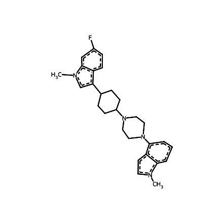 Cn1cc(C2CCC(N3CCN(c4cccc5c4ccn5C)CC3)CC2)c2ccc(F)cc21